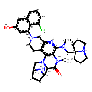 CN(CC12CCCN1CCC2)c1nc2c(c3c1N(C)C(=O)C1C4CCC(CN31)N4)CCN(c1cc(O)cc3cccc(Cl)c13)C2